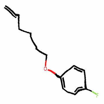 C=CCCCCOc1ccc(F)cc1